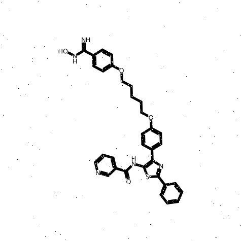 N=C(NO)c1ccc(OCCCCCOc2ccc(-c3nc(-c4ccccc4)sc3NC(=O)c3cccnc3)cc2)cc1